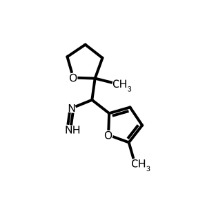 Cc1ccc(C(N=N)C2(C)CCCO2)o1